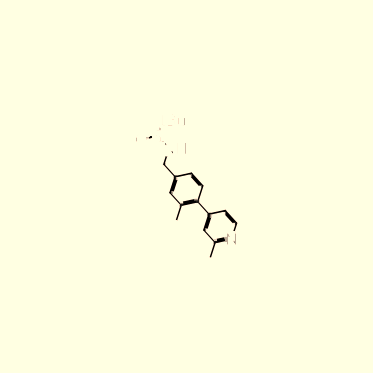 Cc1cc(-c2ccc(CN[S+]([O-])C(C)(C)C)cc2C)ccn1